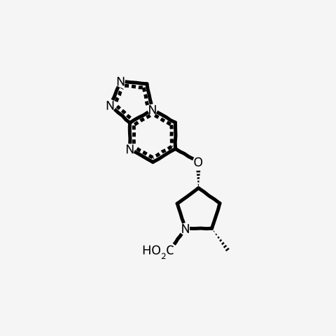 C[C@H]1C[C@@H](Oc2cnc3nncn3c2)CN1C(=O)O